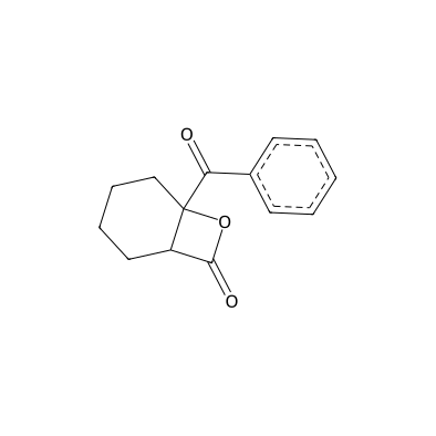 O=C1OC2(C(=O)c3ccccc3)CCCCC12